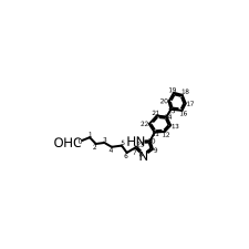 O=CCCCCCCc1ncc(-c2ccc(-c3ccccc3)cc2)[nH]1